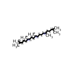 CC(C)=CCC/C(C)=C/CC/C=C(\C)CC/C=C(\C)CCC=C(C)C